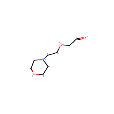 O=CCOCCN1CCOCC1